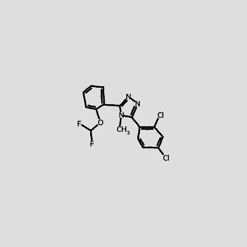 Cn1c(-c2ccc(Cl)cc2Cl)nnc1-c1ccccc1OC(F)F